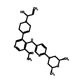 C=CC(O)N1CC=C(c2cncc(C(N)=O)c2Nc2ccc(N3C[C@@H](C)O[C@@H](C)C3)nc2)CC1